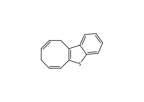 C1=C\Cc2c(sc3ccccc23)/C=C\C/1